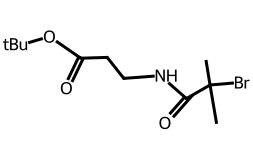 CC(C)(C)OC(=O)CCNC(=O)C(C)(C)Br